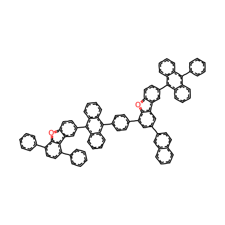 c1ccc(-c2c3ccccc3c(-c3ccc4oc5c(-c6ccc(-c7c8ccccc8c(-c8ccc9oc%10c(-c%11ccccc%11)ccc(-c%11ccccc%11)c%10c9c8)c8ccccc78)cc6)cc(-c6ccc7ccccc7c6)cc5c4c3)c3ccccc23)cc1